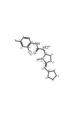 Cc1ccc(NC(=O)CC2CS/C(=N\C3CCCC3)N2C)c(Cl)c1.Cl